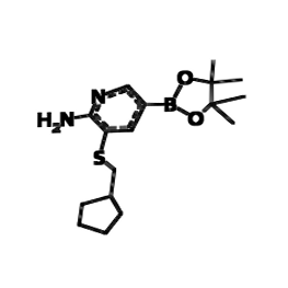 CC1(C)OB(c2cnc(N)c(SCC3CCCC3)c2)OC1(C)C